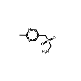 Cc1ncc(CS(=O)(=O)CN)cn1